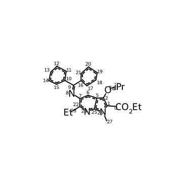 CCOC(=O)c1c(OC(C)C)c2cc(N=C(c3ccccc3)c3ccccc3)c(CC)nc2n1C